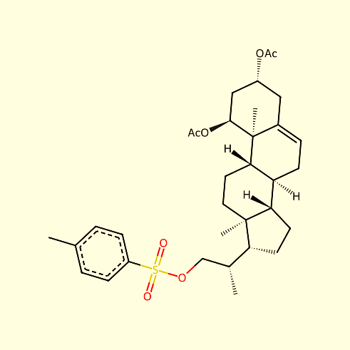 CC(=O)O[C@@H]1CC2=CC[C@H]3[C@@H]4CC[C@H]([C@H](C)COS(=O)(=O)c5ccc(C)cc5)[C@@]4(C)CC[C@@H]3[C@@]2(C)[C@@H](OC(C)=O)C1